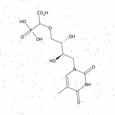 Cc1cn(C[C@@H](O)[C@@H](O)COC(C(=O)O)P(=O)(O)O)c(=O)[nH]c1=O